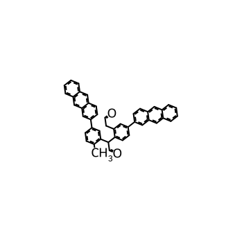 Cc1ccc(-c2ccc3cc4ccccc4cc3c2)cc1C(C=O)c1ccc(-c2ccc3cc4ccccc4cc3c2)cc1CC=O